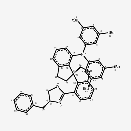 CC(C)(C)c1cc(P(c2cc(C(C)(C)C)cc(C(C)(C)C)c2)c2cccc3c2[C@@]2(CCc4cccc(C5=N[C@@H](Cc6ccccc6)CO5)c42)CC3)cc(C(C)(C)C)c1